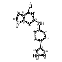 Clc1nc(Nc2ccc(-c3cn[nH]c3)cc2)cc2nccn12